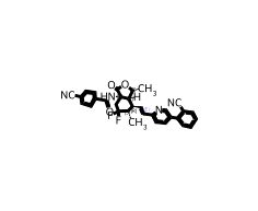 C[C@H]1OC(=O)[C@]2(NC(=O)c3ccc(C#N)cc3)CC(F)(F)[C@@H](C)[C@H](/C=C/c3ccc(-c4ccccc4C#N)cn3)[C@H]12